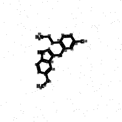 COc1ccc2[nH]cc(Sc3cc(Cl)ccc3CCN)c2c1